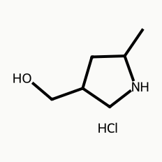 CC1CC(CO)CN1.Cl